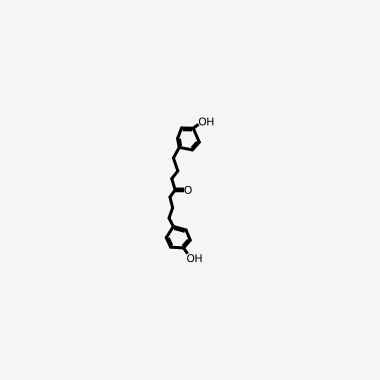 O=C(CCCc1ccc(O)cc1)CCCc1ccc(O)cc1